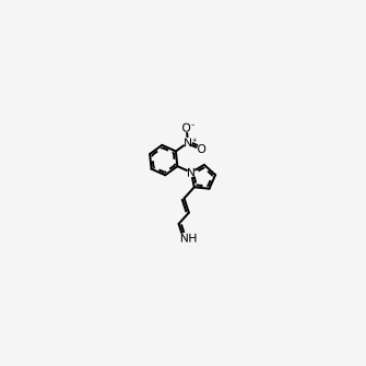 N=C/C=C/c1cccn1-c1ccccc1[N+](=O)[O-]